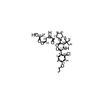 CCOc1ccc(C(=O)N[C@H](C(=O)N2CCC[C@H]2C(=O)N[C@H](C=O)CC(=O)O)C(C)(C)C)c(Cl)c1